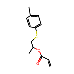 C=CC(=O)OC(C)CSc1ccc(C)cc1